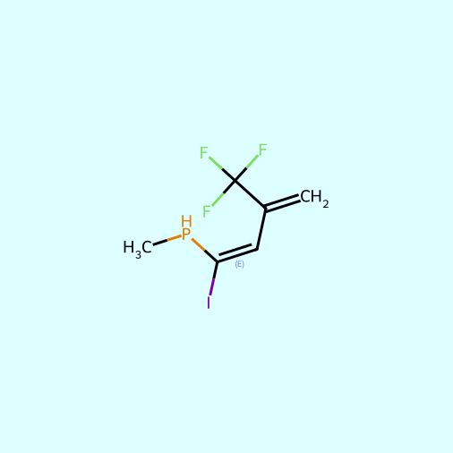 C=C(/C=C(/I)PC)C(F)(F)F